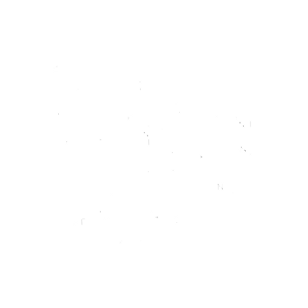 Nc1n[nH]c2ccc(NC(=O)c3cc(F)cc(C(F)(F)F)c3)c(COc3cc(F)ccc3Cl)c12